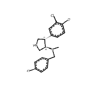 CN(Cc1ccc(Cl)cc1)[C@H]1CNC[C@@H]1c1ccc(Cl)c(Cl)c1